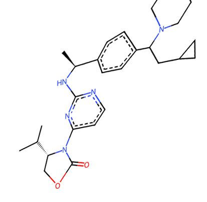 CC(C)[C@H]1COC(=O)N1c1ccnc(N[C@@H](C)c2ccc(C(CC3CC3)N3CCNCC3)cc2)n1